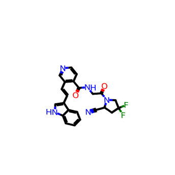 N#CC1CC(F)(F)CN1C(=O)CNC(=O)c1ccncc1C=Cc1c[nH]c2ccccc12